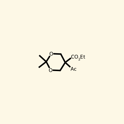 CCOC(=O)C1(C(C)=O)COC(C)(C)OC1